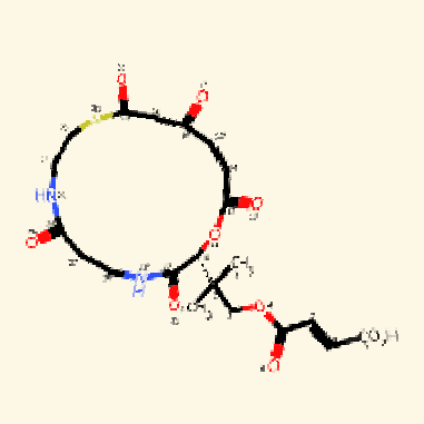 CC(C)(COC(=O)/C=C/C(=O)O)[C@H]1OC(=O)CCC(=O)CC(=O)SCCNC(=O)CCNC1=O